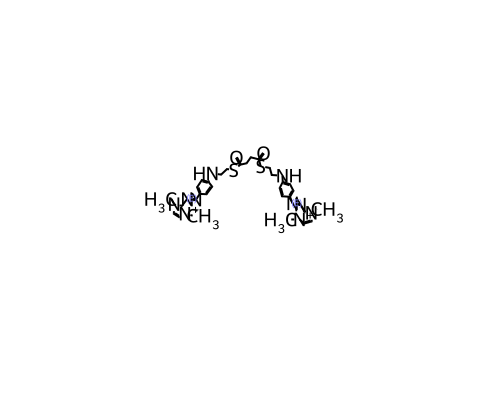 Cn1cc[n+](C)c1/N=N/c1ccc(NCCSC(=O)CCC(=O)SCCNc2ccc(/N=N/c3n(C)cc[n+]3C)cc2)cc1